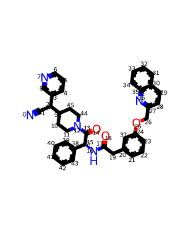 N#CC(c1cccnc1)C1CCN(C(=O)[C@@H](NC(=O)Cc2cccc(OCc3ccc4ccccc4n3)c2)c2ccccc2)CC1